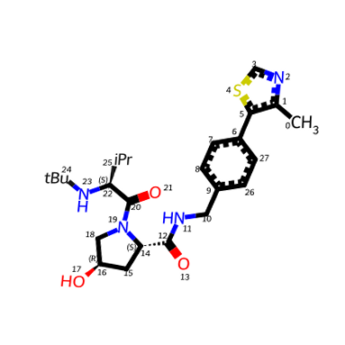 Cc1ncsc1-c1ccc(CNC(=O)[C@@H]2C[C@@H](O)CN2C(=O)[C@@H](NC(C)(C)C)C(C)C)cc1